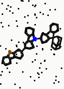 c1ccc2c(c1)-c1cc(-n3c4ccccc4c4cc(-c5ccc6c(c5)sc5ccccc56)ccc43)ccc1C21C2CC3CC(C2)CC1C3